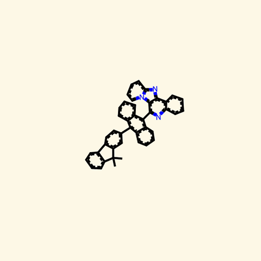 CC1(C)c2ccccc2-c2ccc(-c3c4ccccc4c(-c4nc5ccccc5c5nc6ccccn6c45)c4ccccc34)cc21